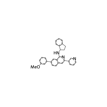 COc1cccc(-c2ccc3cc(-c4cccnc4)nc(NC4CCc5ccccc54)c3c2)c1